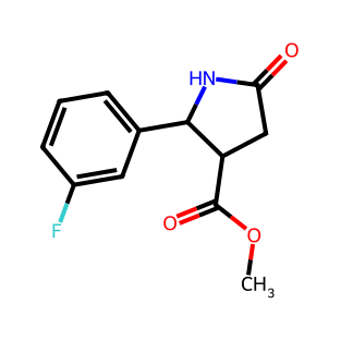 COC(=O)C1CC(=O)NC1c1cccc(F)c1